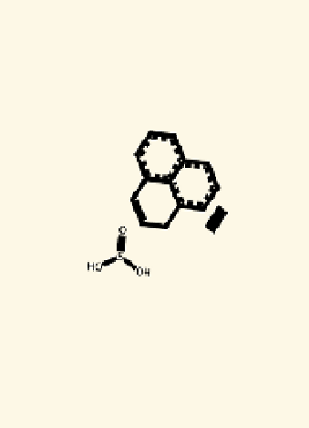 C#C.C1=Cc2cccc3cccc(c23)C1.O=S(O)O